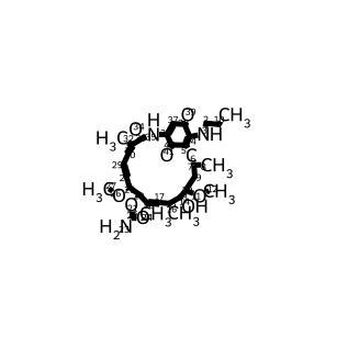 CCCNC1=C2CC(C)CC(OC)[C@@H](O)[C@H](C)C=C(C)[C@@H](OC(N)=O)[C@H](OC)C=CC=C(C)C(=O)NC(=CC1=O)C2=O